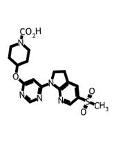 CS(=O)(=O)c1cnc2c(c1)CCN2c1cc(OC2CCN(C(=O)O)CC2)ncn1